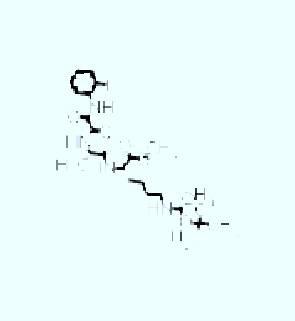 COC(=O)[C@H](CCCCNC(=O)OC(C)(C)C)NC(=O)[C@H](C)NC(=O)C(=O)Nc1ccccc1F